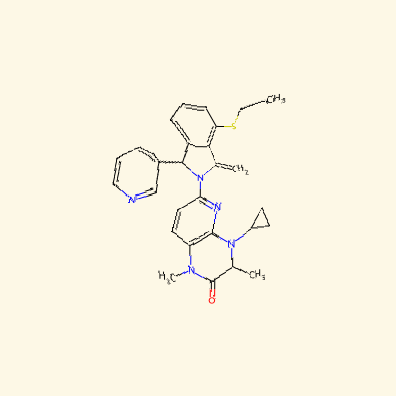 C=C1c2c(SCC)cccc2C(c2cccnc2)N1c1ccc2c(n1)N(C1CC1)C(C)C(=O)N2C